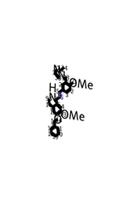 COc1ccc(/C=C/C2NCCc3cc(OCc4ccccc4)c(OC)cc32)cc1Cn1ccnc1C